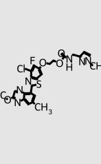 COc1cnc2c(-c3nc4c(Cl)c(F)c(OCCOC(=O)NCc5ccn(C)n5)cc4s3)cc(C)cc2n1